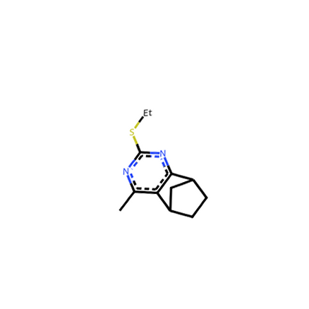 CCSc1nc(C)c2c(n1)C1CCC2C1